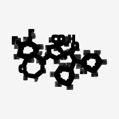 C[C@@]1(C(=O)O)CC(N2CCCOc3cc(F)c(F)cc32)CN1C(=O)C(c1ccccc1)c1ccccc1